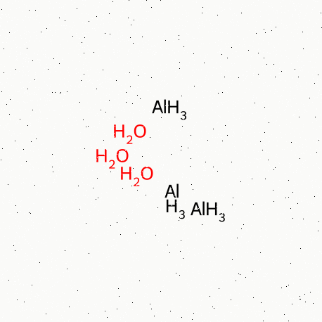 O.O.O.[AlH3].[AlH3].[AlH3]